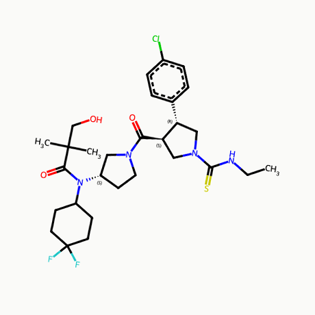 CCNC(=S)N1C[C@@H](C(=O)N2CC[C@H](N(C(=O)C(C)(C)CO)C3CCC(F)(F)CC3)C2)[C@H](c2ccc(Cl)cc2)C1